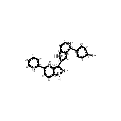 Fc1ccc(-c2nccc3[nH]c(-c4n[nH]c5ccc(-c6ccccn6)nc45)cc23)cc1